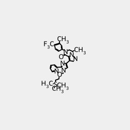 Cc1cc(N2CC(C)n3ncc(-c4cn(COCCS(C)(C)C)c(-c5ccccn5)n4)c3C2=O)ccc1C(F)(F)F